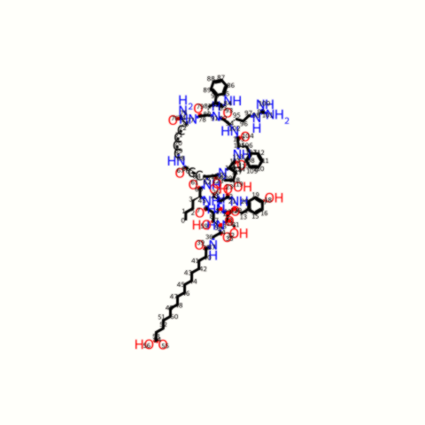 CCCC[C@H](NC(=O)[C@@H](NC(=O)[C@H](Cc1ccc(O)cc1)NC(=O)[C@H](CO)NC(=O)[C@H](CO)NC(=O)CNC(=O)CCCCCCCCCCCCCCC(=O)O)[C@@H](C)O)C(=O)N[C@H]1CCC(=O)NCCCC[C@@H](C(N)=O)NC(=O)[C@H](Cc2c[nH]c3ccccc23)NC(=O)[C@H](CCCNC(=N)N)NC(=O)[C@@H](Cc2ccccc2)NC(=O)[C@@H]2C[C@@H](O)CN2C1=O